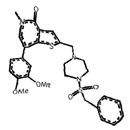 COc1ccc(-c2cn(C)c(=O)c3cc(CN4CCN(S(=O)(=O)Cc5ccccc5)CC4)sc23)cc1OC